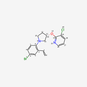 C=Cc1cc(Br)ccc1N1CC[C@H](Oc2nc[c]cc2Cl)C1